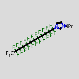 CC(C)[n+]1ccn(C(F)(F)C(F)(F)C(F)(F)C(F)(F)C(F)(F)C(F)(F)C(F)(F)C(F)(F)C(F)(F)C(F)(F)C(F)(F)C(F)(F)F)c1